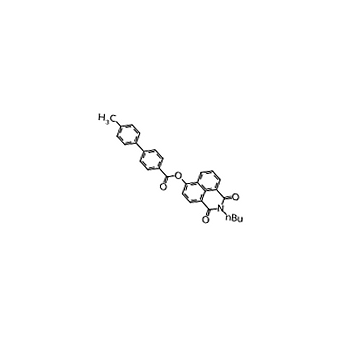 CCCCN1C(=O)c2cccc3c(OC(=O)c4ccc(-c5ccc(C)cc5)cc4)ccc(c23)C1=O